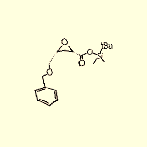 CC(C)(C)[Si](C)(C)OC(=O)[C@H]1O[C@H]1COCc1ccccc1